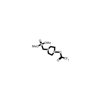 COP(=O)(CN1CCN(OC(=O)C(F)(F)F)CC1)OC